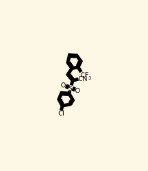 N#CC(=Cc1ccccc1C(F)(F)F)S(=O)(=O)c1ccc(Cl)cc1